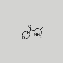 CC(I)C[C@H](N)C(=O)N1CCOCC1